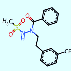 CS(=O)(=O)NN(CCc1cccc(C(F)(F)F)c1)C(=O)c1ccccc1